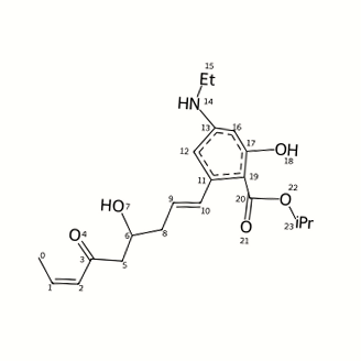 C/C=C\C(=O)CC(O)C/C=C/c1cc(NCC)cc(O)c1C(=O)OC(C)C